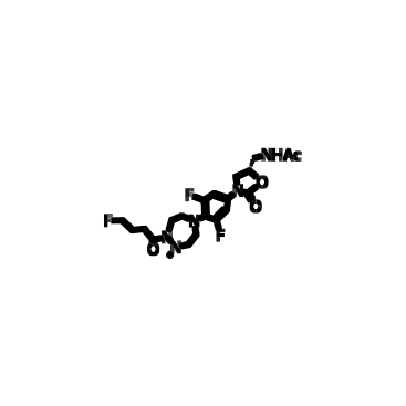 CC(=O)NC[C@H]1CN(c2cc(F)c(N3CCN(C)N(C(=O)CCCF)CC3)c(F)c2)C(=O)O1